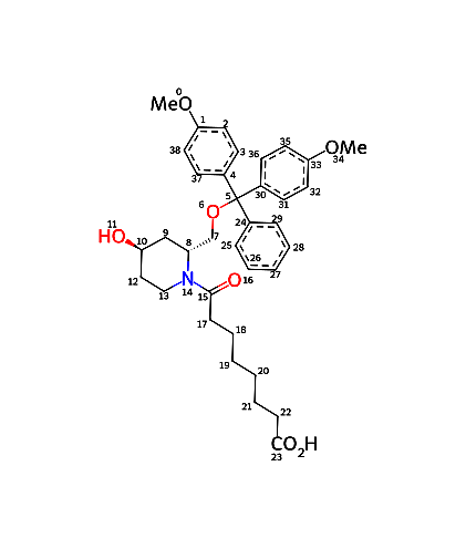 COc1ccc(C(OC[C@H]2C[C@H](O)CCN2C(=O)CCCCCCC(=O)O)(c2ccccc2)c2ccc(OC)cc2)cc1